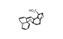 O=C(O)c1coc2ccc3c(c12)C=C1C=CCN2C=CC=CC12O3